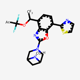 CC(=O)C(F)(F)OC(c1ccc(-c2nccs2)c2oc(N3CC4CC(C3)N4C(=O)O)nc12)C(F)(F)F